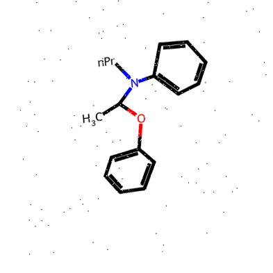 CCCN(c1ccccc1)C(C)Oc1ccccc1